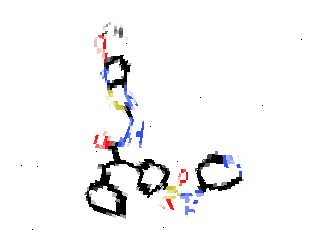 COc1ccc2nc(NC(=O)C(CC3CCCC3)c3ccc(S(=O)(=O)Nc4ccncc4)cc3)sc2n1